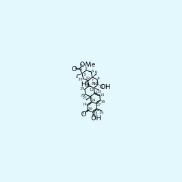 COC(=O)[C@]1(C)CC[C@]2(C)C[C@H](O)[C@]3(C)C4=CC=C5C(=CC(=O)C(O)=C5C)[C@]4(C)CC[C@@]3(C)[C@@H]2C1